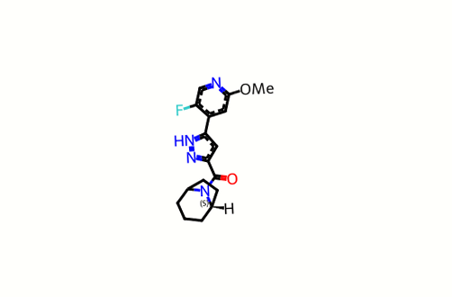 COc1cc(-c2cc(C(=O)N3C4CCC[C@H]3CC4)n[nH]2)c(F)cn1